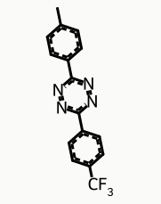 Cc1ccc(-c2nnc(-c3ccc(C(F)(F)F)cc3)nn2)cc1